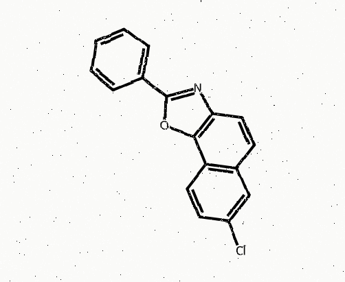 Clc1ccc2c(ccc3nc(-c4ccccc4)oc32)c1